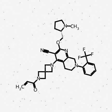 C=CC(=O)N1CC2(C1)CN(c1c(C#N)c(OC[C@@H]3CCCN3C)nc3c1CCN(c1ccccc1C(F)(F)F)C3)C2